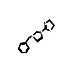 C1=CN(C2=NCCS2)CN1Cc1ccccc1